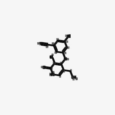 CCc1c[nH]c(=O)c(Cl)c1Oc1cc(Cl)cc(C#N)c1